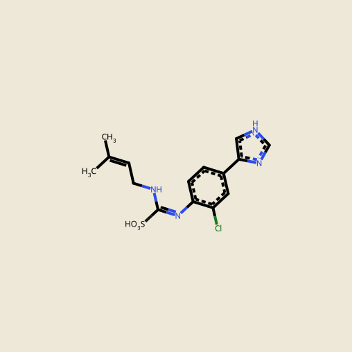 CC(C)=CCNC(=Nc1ccc(-c2c[nH]cn2)cc1Cl)S(=O)(=O)O